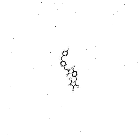 COc1ccc(CN2C(=O)C(=O)N(C)C2=O)cc1C(=O)NCc1ccc(Oc2ccc(F)cc2)cc1